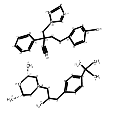 CC(Cc1ccc(C(C)(C)C)cc1)CN1C[C@@H](C)O[C@@H](C)C1.N#CC(CCc1ccc(Cl)cc1)(Cn1cncn1)c1ccccc1